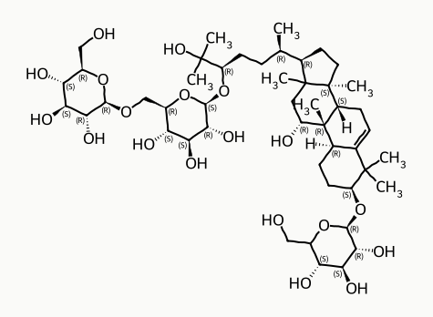 C[C@H](CC[C@@H](O[C@@H]1O[C@H](CO[C@@H]2O[C@H](CO)[C@@H](O)[C@H](O)[C@H]2O)[C@@H](O)[C@H](O)[C@H]1O)C(C)(C)O)[C@H]1CC[C@@]2(C)[C@@H]3CC=C4[C@@H](CC[C@H](O[C@@H]5OC(CO)[C@@H](O)[C@H](O)[C@H]5O)C4(C)C)[C@]3(C)[C@H](O)CC12C